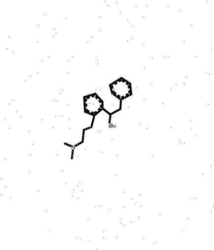 CCC(C)[C](Cc1ccccc1)c1ccccc1CCCN(C)C